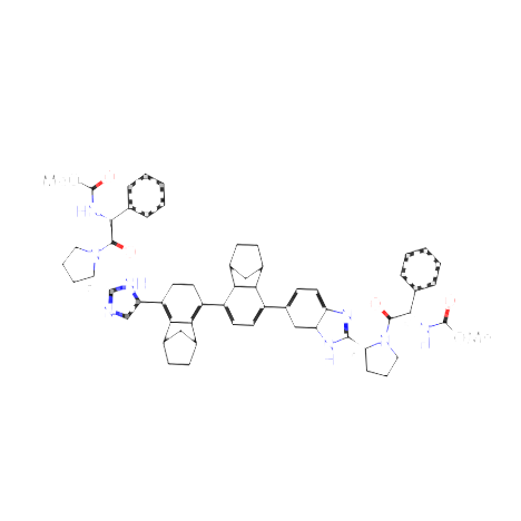 COC(=O)N[C@H](C(=O)N1CCC[C@H]1C1=NC2=CC=C(C3=CC=C(C4=C5C(=C(c6cnc([C@@H]7CCCN7C(=O)[C@@H](NC(=O)OC)c7ccccc7)[nH]6)CC4)C4CCC5C4)C4C5CCC(C5)C34)CC2N1)c1ccccc1